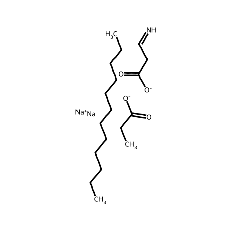 CCC(=O)[O-].CCCCCCCCCCCC.N=CCC(=O)[O-].[Na+].[Na+]